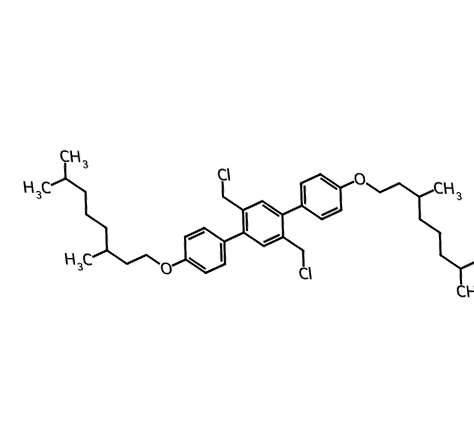 CC(C)CCCC(C)CCOc1ccc(-c2cc(CCl)c(-c3ccc(OCCC(C)CCCC(C)C)cc3)cc2CCl)cc1